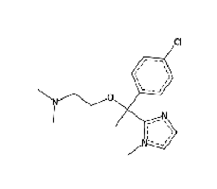 CN(C)CCOC(C)(c1ccc(Cl)cc1)c1nccn1C